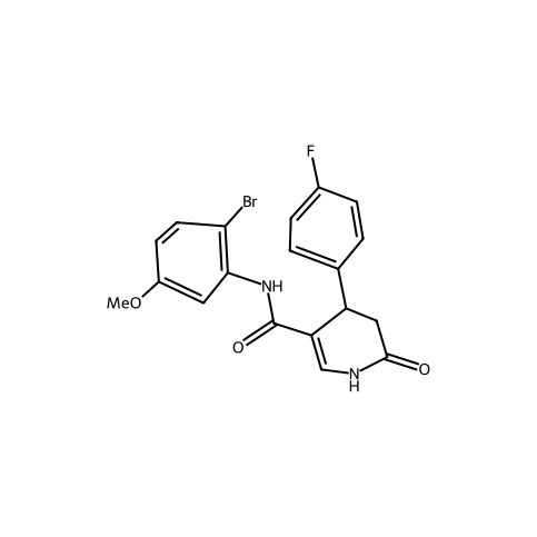 COc1ccc(Br)c(NC(=O)C2=CNC(=O)CC2c2ccc(F)cc2)c1